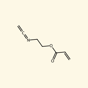 C=C=NCCOC(=O)C=C